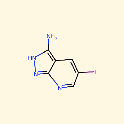 Nc1[nH]nc2ncc(I)cc12